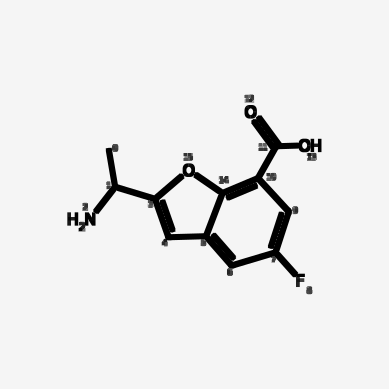 CC(N)c1cc2cc(F)cc(C(=O)O)c2o1